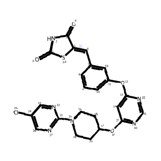 O=C1NC(=O)/C(=C/c2cccc(Oc3cc(OC4CCN(c5ncc(Cl)cn5)CC4)ncn3)c2)S1